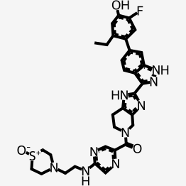 CCc1cc(O)c(F)cc1-c1ccc2c(-c3nc4c([nH]3)CCN(C(=O)c3cnc(NCCN5CC[S+]([O-])CC5)cn3)C4)n[nH]c2c1